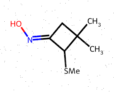 CSC1C(=NO)CC1(C)C